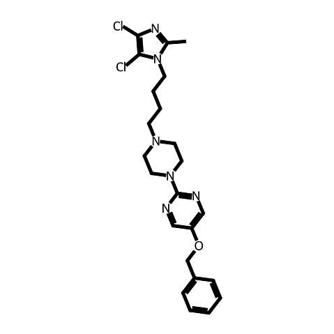 Cc1nc(Cl)c(Cl)n1CCCCN1CCN(c2ncc(OCc3ccccc3)cn2)CC1